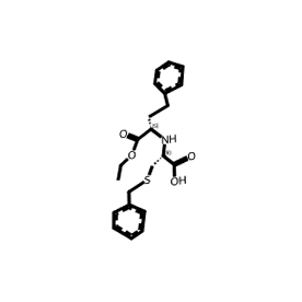 CCOC(=O)[C@H](CCc1ccccc1)N[C@@H](CSCc1ccccc1)C(=O)O